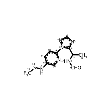 CC(NC=O)c1ncnn1-c1ccc(NSC(F)(F)F)cn1